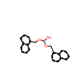 OB(OCc1cccc2ccccc12)OCc1cccc2ccccc12